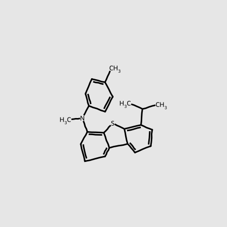 Cc1ccc(N(C)c2cccc3c2sc2c(C(C)C)cccc23)cc1